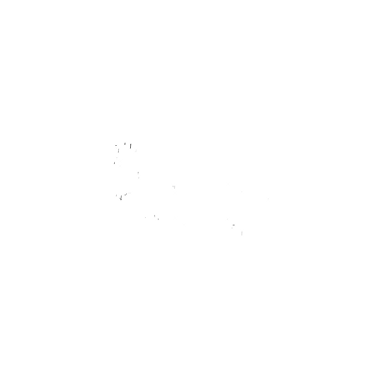 CCC(C)(C)c1ccc2[nH]c([C@@H](N)COC)nc2c1